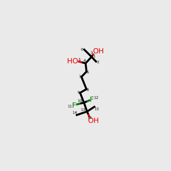 CC(C)(O)C(O)C[CH]CCC(F)(F)C(C)(C)O